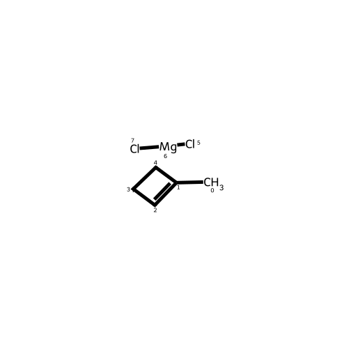 CC1=C[CH]C1.[Cl][Mg][Cl]